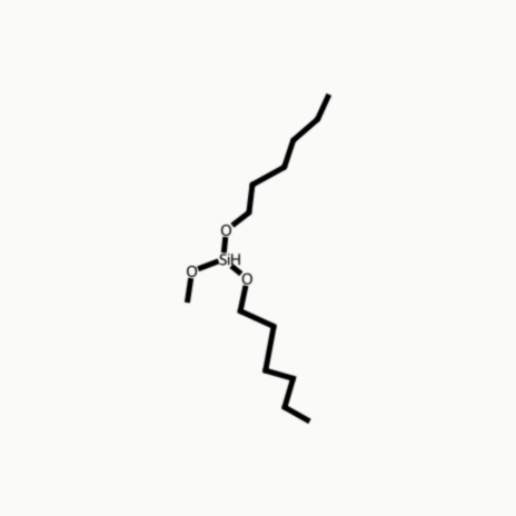 CCCCCCO[SiH](OC)OCCCCCC